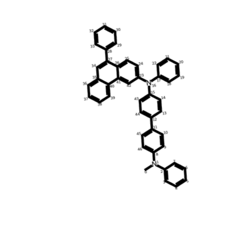 CN(c1ccccc1)c1ccc(-c2ccc(N(c3ccccc3)c3ccc4c(-c5ccccc5)cc5ccccc5c4c3)cc2)cc1